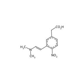 CN(C)/C=C/c1cc(CC(=O)O)ccc1[N+](=O)[O-]